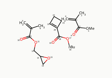 C=C(C)C(=O)OC.C=C(C)C(=O)OCC1CO1.CCCCOC(=O)C1=CCC1